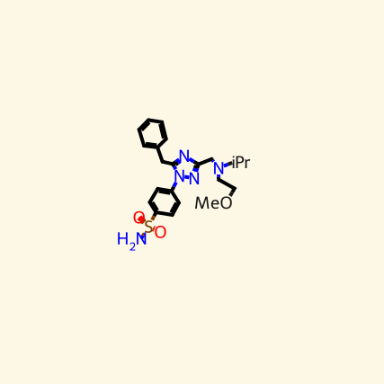 COCCN(Cc1nc(Cc2ccccc2)n(-c2ccc(S(N)(=O)=O)cc2)n1)C(C)C